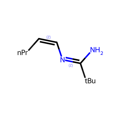 CCC/C=C\N=C(/N)C(C)(C)C